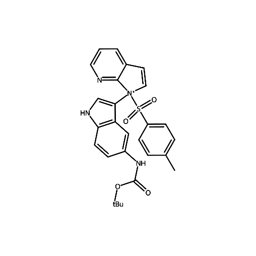 Cc1ccc(S(=O)(=O)[N+]2(c3c[nH]c4ccc(NC(=O)OC(C)(C)C)cc34)C=Cc3cccnc32)cc1